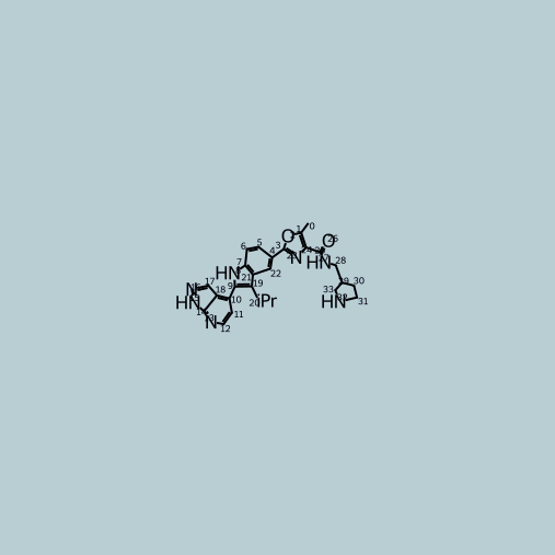 Cc1oc(-c2ccc3[nH]c(-c4ccnc5[nH]ncc45)c(C(C)C)c3c2)nc1C(=O)NCC1CCNC1